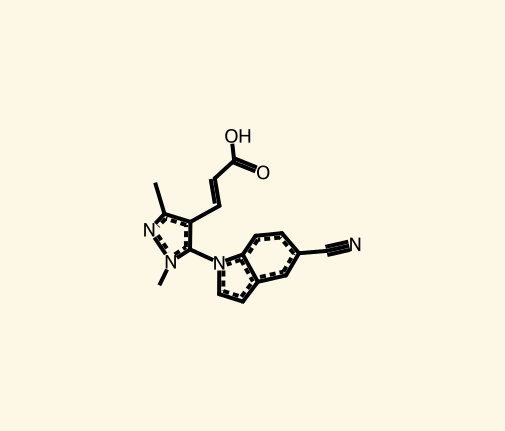 Cc1nn(C)c(-n2ccc3cc(C#N)ccc32)c1C=CC(=O)O